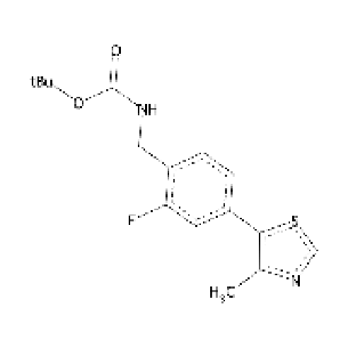 Cc1ncsc1-c1ccc(CNC(=O)OC(C)(C)C)c(F)c1